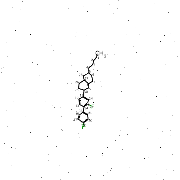 CCCCCC1CCC2CC(c3ccc(-c4ccc(F)cc4)c(F)c3)CCC2C1